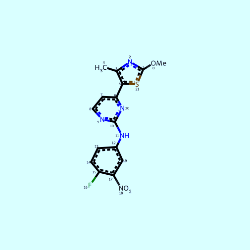 COc1nc(C)c(-c2ccnc(Nc3ccc(F)c([N+](=O)[O-])c3)n2)s1